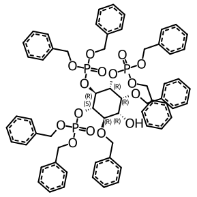 O=P(OCc1ccccc1)(OCc1ccccc1)O[C@@H]1[C@@H](OP(=O)(OCc2ccccc2)OCc2ccccc2)[C@H](OCc2ccccc2)[C@@H](O)[C@@H](OCc2ccccc2)[C@H]1OP(=O)(OCc1ccccc1)OCc1ccccc1